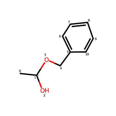 C[C](O)OCc1ccccc1